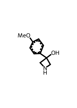 COc1ccc(C2(O)CNC2)cc1